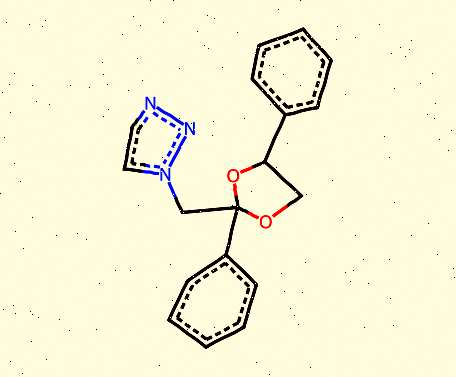 c1ccc(C2COC(Cn3ccnn3)(c3ccccc3)O2)cc1